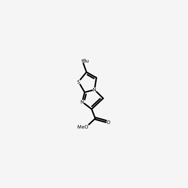 COC(=O)c1cn2cc(C(C)(C)C)sc2n1